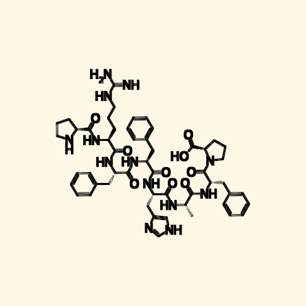 C[C@H](NC(=O)[C@H](Cc1c[nH]cn1)NC(=O)[C@H](Cc1ccccc1)NC(=O)[C@H](Cc1ccccc1)NC(=O)[C@H](CCCNC(=N)N)NC(=O)[C@@H]1CCCN1)C(=O)N[C@@H](Cc1ccccc1)C(=O)N1CCC[C@@H]1C(=O)O